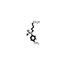 Cc1ccc(N(CCCCC(=O)O)[SH](=O)=O)cc1